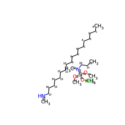 CCCCCCCCCCCCCCCCCCNC.CCCN(C)[Si](OC)(OC)OC.Cl